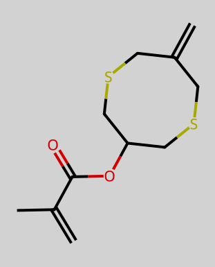 C=C1CSCC(OC(=O)C(=C)C)CSC1